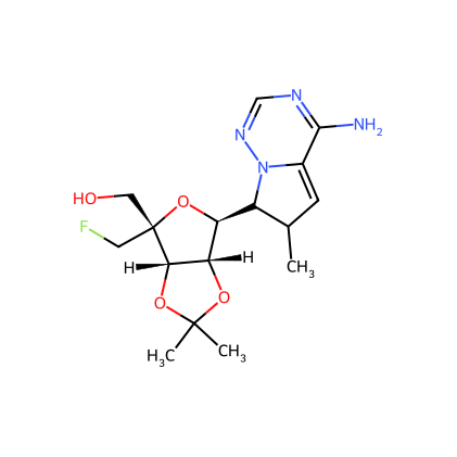 CC1C=C2C(N)=NC=NN2C1[C@@H]1O[C@@](CO)(CF)[C@H]2OC(C)(C)O[C@@H]12